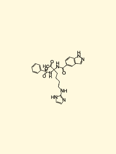 O=C(NC(CCCCNc1ncc[nH]1)(NS(=O)(=O)c1ccccc1)C(=O)O)c1ccc2[nH]ncc2c1